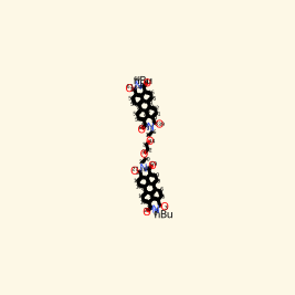 CCCCN1C(=O)c2ccc3c4ccc5c6c(ccc(c7ccc(c2c37)C1=O)c64)C(=O)N(CCOCCOCCN1C(=O)c2ccc3c4ccc6c7c(ccc(c8ccc(c2c38)C1=O)c74)C(=O)N(CCCC)C6=O)C5=O